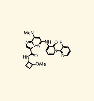 CNc1cc(Nc2cccn(-c3ncccc3F)c2=O)nn2c(C(=O)N[C@H]3CC[C@@H]3OC)cnc12